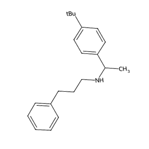 CC(NCCCc1ccccc1)c1ccc(C(C)(C)C)cc1